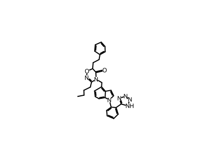 CCCCC1=NOC(CCc2ccccc2)C(=O)N1Cc1cccc2c1ccn2-c1ccccc1-c1nnn[nH]1